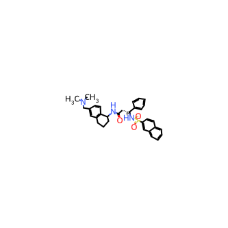 CN(C)Cc1ccc2c(c1)CCCC2NC(=O)C[C@@H](NS(=O)(=O)c1ccc2ccccc2c1)c1ccccc1